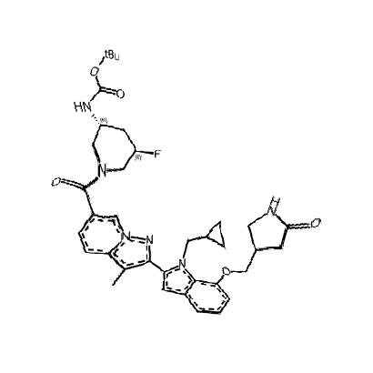 Cc1c(-c2cc3cccc(OCC4CNC(=O)C4)c3n2CC2CC2)nn2cc(C(=O)N3C[C@H](F)C[C@@H](NC(=O)OC(C)(C)C)C3)ccc12